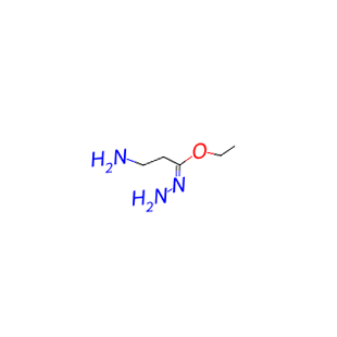 CCOC(CCN)=NN